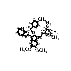 COc1cc2c(-c3cc4cccnc4n3S(=O)(=O)c3ccc(C)cc3)cn(CCC(O[SiH](C)C)C(C)(C)C)c2cc1OC